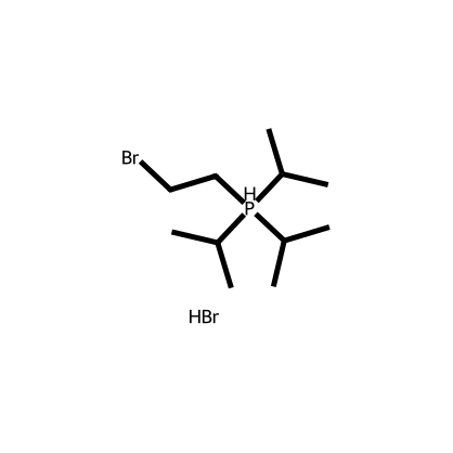 Br.CC(C)[PH](CCBr)(C(C)C)C(C)C